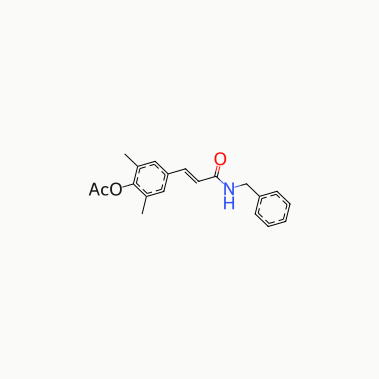 CC(=O)Oc1c(C)cc(/C=C/C(=O)NCc2ccccc2)cc1C